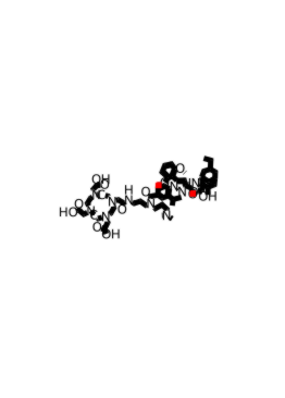 CCC1CC2CC(C)C(NC(=O)c3cc(-c4c(OC)cccc4OC)n(-c4ccc(C(=O)N(CCCNC(=O)CN5CCN(CC(=O)O)CCN(CC(=O)O)CCN(CC(=O)O)CC5)CCCN(C)C)cc4C(C)C)n3)(C(=O)O)C(C1)C2